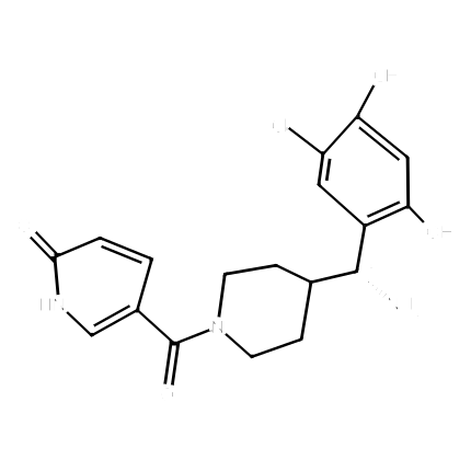 Cc1cc(O)c([C@H](N)C2CCN(C(=O)c3ccc(=O)[nH]c3)CC2)cc1Cl